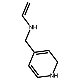 C=CNCC1=CCNC=C1